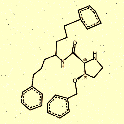 O=C(NC(CCCc1ccccc1)CCCc1ccccc1)[C@H]1NCC[C@H]1OCc1ccccc1